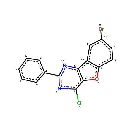 Clc1nc(-c2ccccc2)nc2c1oc1ccc(Br)cc12